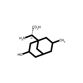 CC1CC2CC(O)CC([C@H](N)C(=O)O)(C1)C2